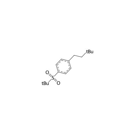 CC(C)(C)CCc1ccc(S(=O)(=O)C(C)(C)C)cc1